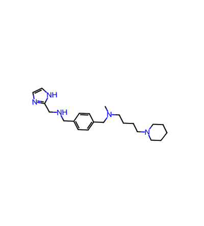 CN(CCCCN1CCCCC1)Cc1ccc(CNCc2ncc[nH]2)cc1